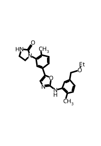 CCOCc1ccc(C)c(Nc2ncc(-c3ccc(C)c(N4CCNC4=O)c3)o2)c1